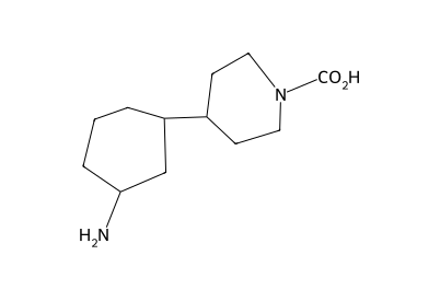 NC1CCCC(C2CCN(C(=O)O)CC2)C1